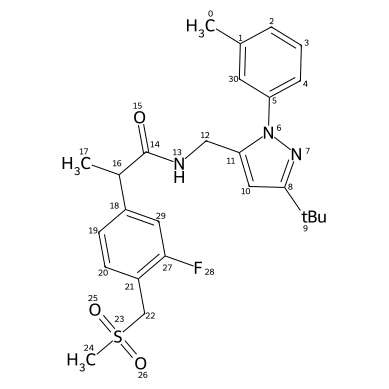 Cc1cccc(-n2nc(C(C)(C)C)cc2CNC(=O)C(C)c2ccc(CS(C)(=O)=O)c(F)c2)c1